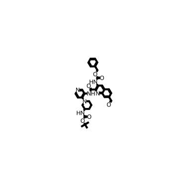 CC(C)(C)OC(=O)NC1CCCN(c2ccncc2NC(=O)c2nc3cc(C=O)ccc3cc2NC(=O)OCc2ccccc2)C1